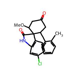 COC1CC(=O)CC(c2ccccc2C)C12C(=O)Nc1cc(Cl)ccc12